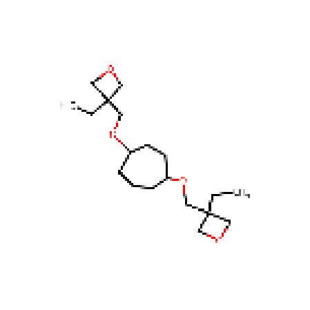 CCC1(COC2CCCC(OCC3(CC)COC3)CC2)COC1